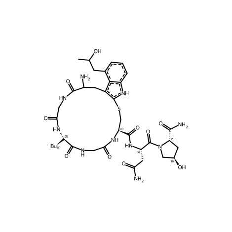 CC[C@H](C)[C@@H]1NC(=O)CNC(=O)C(N)Cc2c([nH]c3cccc(CC(C)O)c23)SC[C@@H](C(=O)N[C@@H](CC(N)=O)C(=O)N2C[C@H](O)C[C@H]2C(N)=O)NC(=O)CNC1=O